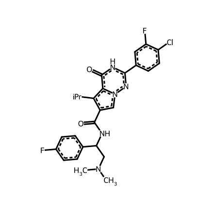 CC(C)c1c(C(=O)NC(CN(C)C)c2ccc(F)cc2)cn2nc(-c3ccc(Cl)c(F)c3)[nH]c(=O)c12